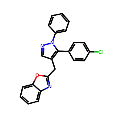 Clc1ccc(-c2c(Cc3nc4ccccc4o3)cnn2-c2ccccc2)cc1